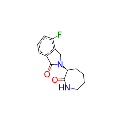 O=C1NCCCC[C@@H]1N1Cc2c(F)cccc2C1=O